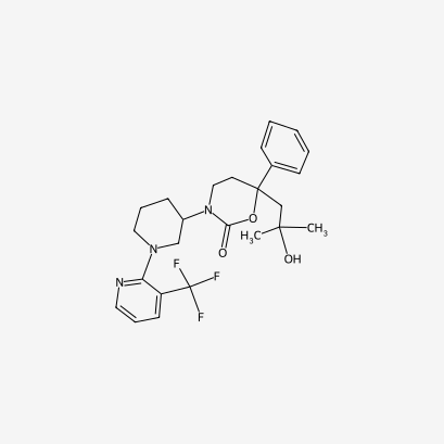 CC(C)(O)CC1(c2ccccc2)CCN(C2CCCN(c3ncccc3C(F)(F)F)C2)C(=O)O1